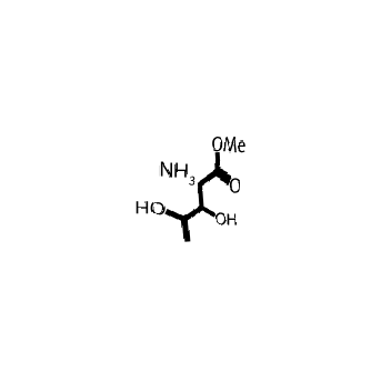 COC(=O)CC(O)C(C)O.N